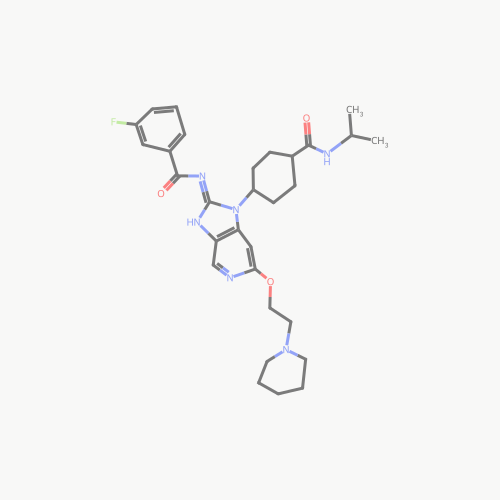 CC(C)NC(=O)C1CCC(n2/c(=N/C(=O)c3cccc(F)c3)[nH]c3cnc(OCCN4CCCCC4)cc32)CC1